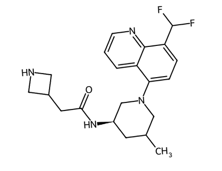 CC1C[C@@H](NC(=O)CC2CNC2)CN(c2ccc(C(F)F)c3ncccc23)C1